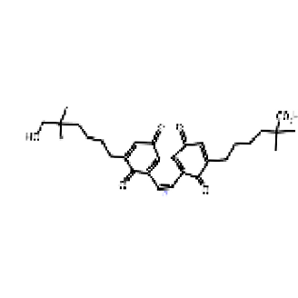 CC(C)(CO)CCCCC1=CC(=O)C=C(/C=C\C2=CC(=O)C=C(CCCCC(C)(C)C(=O)O)C2=O)C1=O